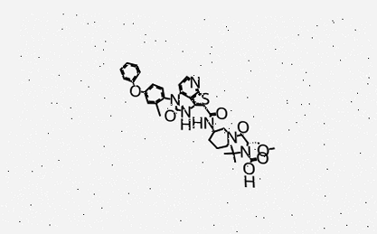 COC[C@@H](C(=O)N1CCC[C@@H](NC(=O)c2sc3nccc4c3c2NC(=O)N4c2ccc(Oc3ccccc3)cc2C)C1)N(C(=O)O)C(C)(C)C